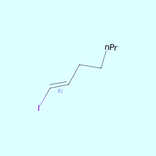 CCCCC/C=C/I